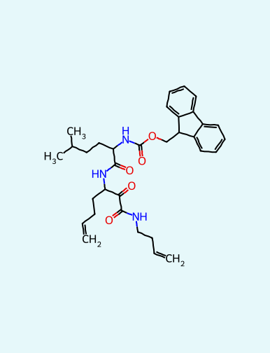 C=CCCNC(=O)C(=O)C(CCC=C)NC(=O)C(CCC(C)C)NC(=O)OCC1c2ccccc2-c2ccccc21